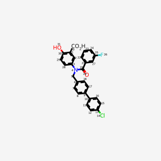 O=C(O)c1cc(N(Cc2ccc(-c3ccc(Cl)cc3)cc2)C(=O)c2cccc(F)c2)ccc1O